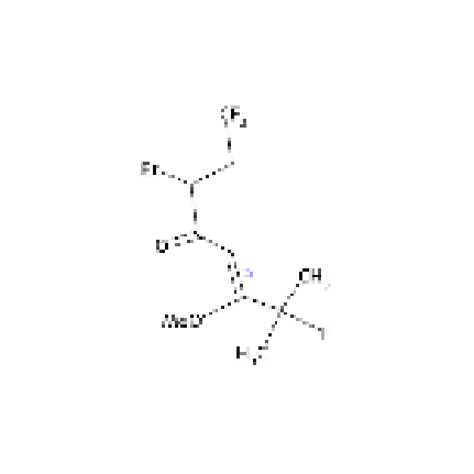 CCC(CC(F)(F)F)C(=O)/C=C(\OC)C(C)(C)F